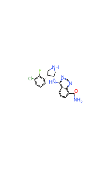 NC(=O)c1cccc2c(N[C@@H]3CNC[C@H]3c3cccc(Cl)c3F)ncnc12